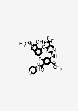 COc1cc(C(=O)NC2CCOCC2)c(F)cc1Nc1ncc(C(F)(F)F)c(Oc2cccc3c2C(O)N(OC)C3)n1